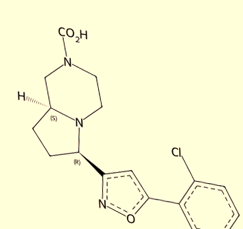 O=C(O)N1CCN2[C@@H](CC[C@@H]2c2cc(-c3ccccc3Cl)on2)C1